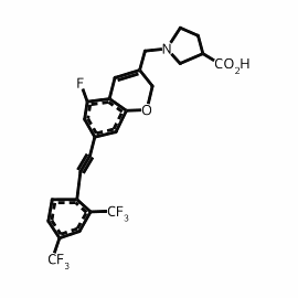 O=C(O)C1CCN(CC2=Cc3c(F)cc(C#Cc4ccc(C(F)(F)F)cc4C(F)(F)F)cc3OC2)C1